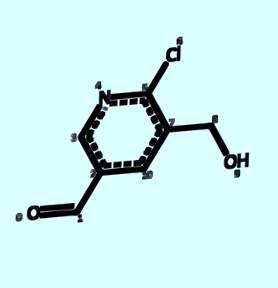 O=Cc1cnc(Cl)c(CO)c1